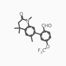 Cc1cc2c(cc1-c1cc(OC(F)(F)F)ccc1C=O)N(C)C(=O)CC2(C)C